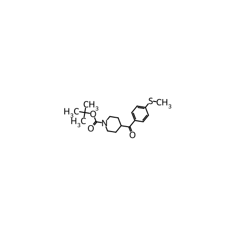 CSc1ccc(C(=O)C2CCN(C(=O)OC(C)(C)C)CC2)cc1